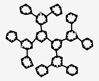 c1ccc(-c2cc(-c3cc(-c4cc(-c5cc(-c6ccccc6)nc(-c6ccccc6)c5)cc(-c5cc(-c6ccccc6)nc(-c6ccccc6)c5)c4)cc(-c4cc(-c5ccccc5)nc(-c5ccccc5)c4)c3)cc(-c3ccccc3)n2)cc1